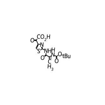 C[C@H](NC(=O)OC(C)(C)C)C(=O)Nc1nc(C(=O)C(=O)O)cs1